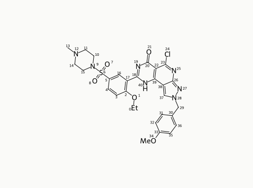 CCOc1ccc(S(=O)(=O)N2CCN(C)CC2)cc1-c1nc(=O)c2c(Cl)nc3nn(Cc4ccc(OC)cc4)cc3c2[nH]1